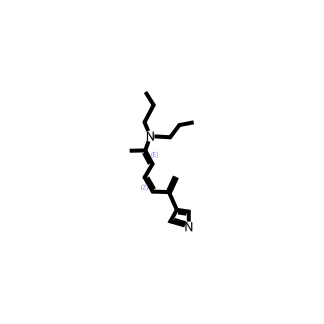 C=C(/C=C\C=C(/C)N(CCC)CCC)C1=CN=C1